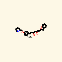 COc1cc(OCc2ccccn2)ccc1C=CC(=O)CC(=O)C=Cc1cc2ccccc2o1